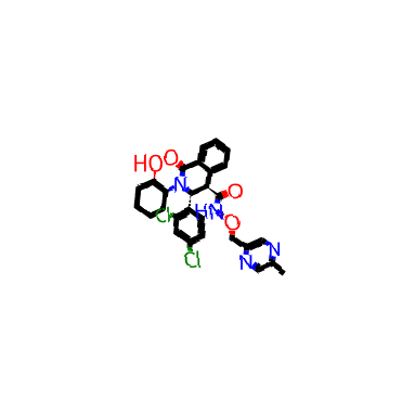 Cc1cnc(CONC(=O)[C@@H]2c3ccccc3C(=O)N([C@H]3CCCC[C@@H]3O)[C@H]2c2ccc(Cl)cc2Cl)cn1